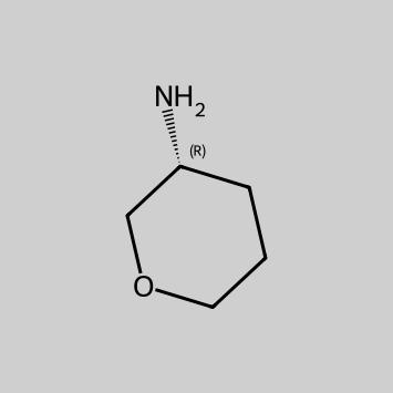 N[C@@H]1CCCOC1